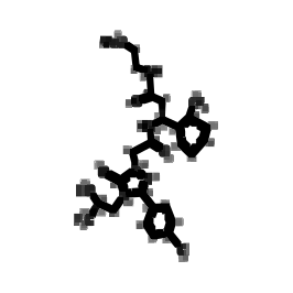 COCCNC(=O)C[C@H](NC(=O)Cn1nc(-c2ccc(Cl)cc2)n(C[C@H](O)C(F)(F)F)c1=O)c1ccccc1C(F)(F)F